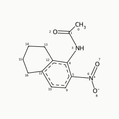 CC(=O)Nc1c([N+](=O)[O-])ccc2c1CCCC2